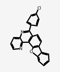 Clc1ccc(-c2nc3cccnc3c3c2ccc2c4ccccc4oc23)cc1